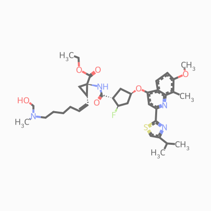 CCOC(=O)[C@@]1(NC(=O)[C@@H]2C[C@@H](Oc3cc(-c4nc(C(C)C)cs4)nc4c(C)c(OC)ccc34)C[C@H]2F)C[C@H]1/C=C\CCCCN(C)CO